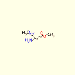 CCOC(=O)/C=C/C=C(/CN)CCNC